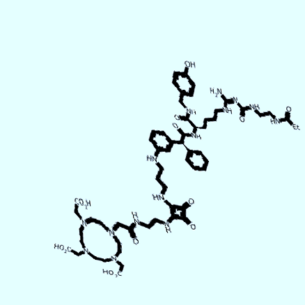 CCC(=O)NCCNC(=O)/N=C(/N)NCCCC[C@@H](NC(=O)[C@@H](c1ccccc1)c1cccc(NCCCNc2c(NCCNC(=O)CN3CCN(CC(=O)O)CCN(CC(=O)O)CCN(CC(=O)O)CC3)c(=O)c2=O)c1)C(=O)NCc1ccc(O)cc1